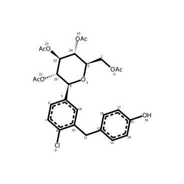 CC(=O)OC[C@H]1O[C@@H](c2ccc(Cl)c(Cc3ccc(O)cc3)c2)[C@H](OC(C)=O)[C@@H](OC(C)=O)[C@@H]1OC(C)=O